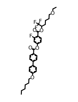 CCCCCCOc1ccc(-c2ccc(C(=O)Oc3ccc(C(=O)OC(CCCCOCC)C(F)(F)F)c(F)c3)cc2)cc1